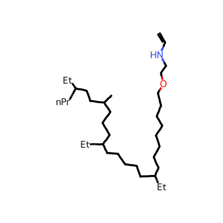 C=CNCCOCCCCCCCCC(CC)CCCCCC(CC)CCCC(C)CCC(CC)CCC